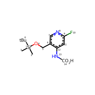 CC(C)(C)[Si](C)(C)OCc1cnc(F)cc1NC(=O)O